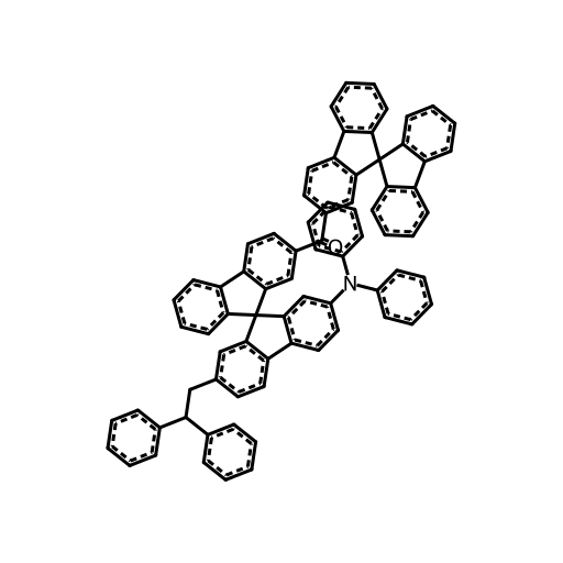 O=C(c1ccc2c(c1)C1(c3ccccc3-c3ccccc31)c1ccccc1-2)c1ccc2c(c1)C1(c3ccccc3-2)c2cc(CC(c3ccccc3)c3ccccc3)ccc2-c2ccc(N(c3ccccc3)c3ccccc3)cc21